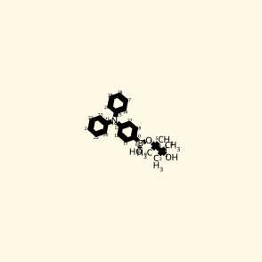 CC(C)(O)C(C)(C)OB(O)c1ccc(N(c2ccccc2)c2ccccc2)cc1